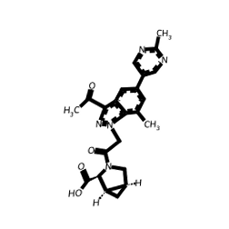 CC(=O)c1nn(CC(=O)N2C[C@H]3C[C@H]3[C@H]2C(=O)O)c2c(C)cc(-c3cnc(C)nc3)cc12